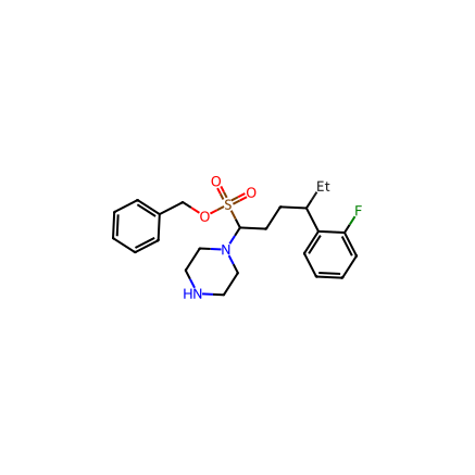 CCC(CCC(N1CCNCC1)S(=O)(=O)OCc1ccccc1)c1ccccc1F